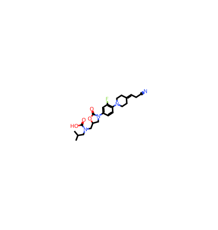 CC(C)CN(CC1CN(c2ccc(N3CCC(=CCC#N)CC3)c(F)c2)C(=O)O1)C(=O)O